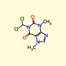 Cn1cnc2c1c(=O)n(C(Cl)Cl)c(=O)n2C